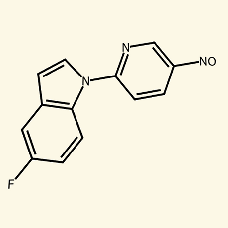 O=Nc1ccc(-n2ccc3cc(F)ccc32)nc1